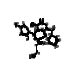 Cc1cc(F)ccc1-c1nc(NCCO)nc2c1C(=O)NCN2[C@@H](C)c1ccccc1